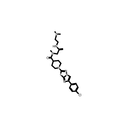 C=C(CN(C)C(=O)C1CCN(c2nn3cc(-c4ccc(Cl)cc4)nc3s2)CC1)NCCN(C)C